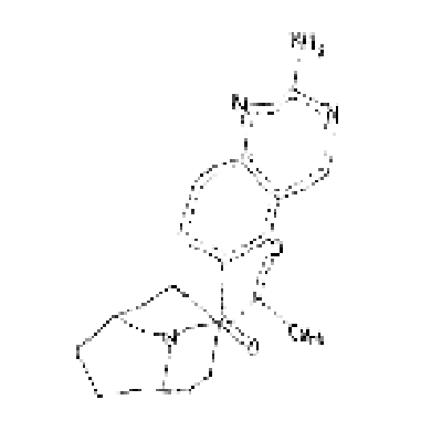 Nc1ncc2cc(C(=O)N3C4CCC3CC(C(=O)O)C4)ccc2n1